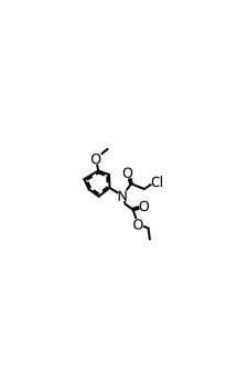 CCOC(=O)CN(C(=O)CCl)c1cccc(OC)c1